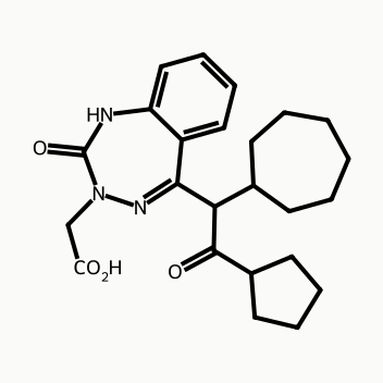 O=C(O)CN1N=C(C(C(=O)C2CCCC2)C2CCCCCC2)c2ccccc2NC1=O